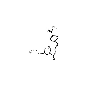 CCOC(=O)CN1C(=O)SC(=Cc2ccc(C(=O)O)cc2)C1=O